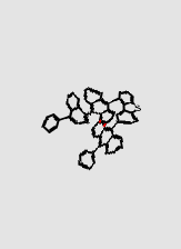 c1ccc(-c2ccc(-c3c4ccccc4c(-c4cccc5sc6ccc(-c7c8ccccc8c(-c8ccccc8)c8ccccc78)cc6c45)c4ccccc34)c3ccccc23)cc1